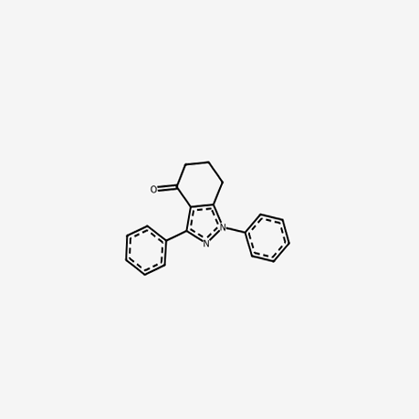 O=C1CCCc2c1c(-c1ccccc1)nn2-c1ccccc1